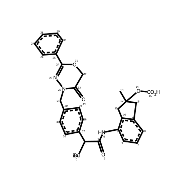 CCC(C)C(C(=O)Nc1cccc2c1CC(C)(OC(=O)O)C2)c1ccc(CN2N=C(c3ccccc3)OCC2=O)cc1